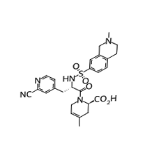 CC1=CCN(C(=O)[C@H](Cc2ccnc(C#N)c2)NS(=O)(=O)c2ccc3c(c2)CN(C)CC3)[C@@H](C(=O)O)C1